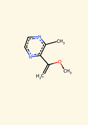 C=C(OC)c1nccnc1C